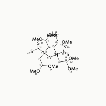 COC(C[N+](CC(OC)OC)([N][N+](CC(OC)OC)(CC(OC)OC)C(=S)[S-])C(=S)[S-])OC